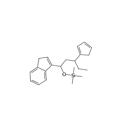 CCC(CC(O[Si](C)(C)C)C1=CCc2ccccc21)C1=CC=CC1